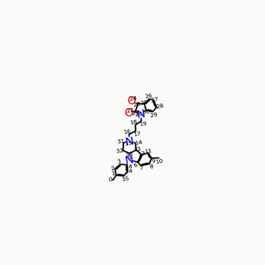 Cc1ccc(N2c3ccc(C)cc3C3CN(CCCCN4C(=O)C(=O)c5ccccc54)CCC32)cc1